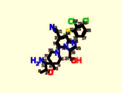 CC1OCC2(CCN(c3cc(C#N)c(Sc4cccc(Cl)c4Cl)c4ncc(CO)n34)CC2)C1N